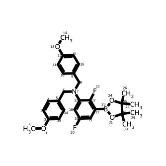 COc1ccc(CN(Cc2ccc(OC)cc2)c2cc(F)cc(B3OC(C)(C)C(C)(C)O3)c2F)cc1